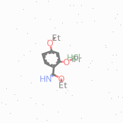 CCOC(=N)c1ccc(OCC)cc1OC(C)C.Cl